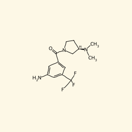 CN(C)[C@@H]1CCN(C(=O)c2cc(N)cc(C(F)(F)F)c2)C1